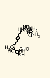 CN(CCCCc1ccc(CCCCNC(N)=NC(=O)c2nc(Cl)c(N)nc2N)cc1)C[C@H](O)c1ccc(O)c(NC=O)c1